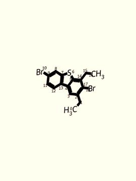 CCc1cc2c(sc3cc(Br)ccc32)c(CC)c1Br